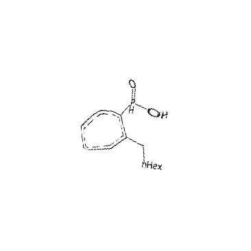 CCCCCCCc1ccccc1[PH](=O)O